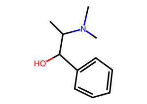 CC(C(O)c1ccccc1)N(C)C